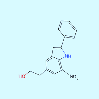 O=[N+]([O-])c1cc(CCO)cc2cc(-c3ccccc3)[nH]c12